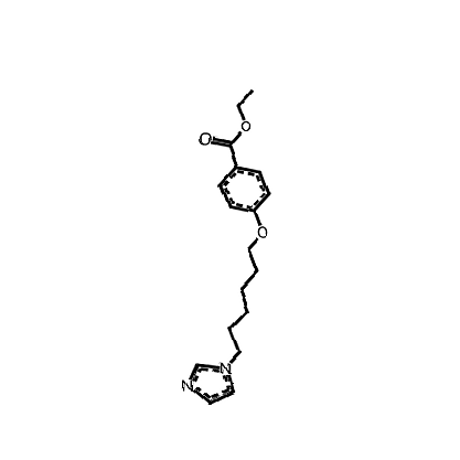 CCOC(=O)c1ccc(OCCCCCCn2ccnc2)cc1